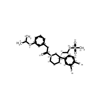 CC(C)Oc1cccc(CC(=O)N2CCC[C@](CCOS(C)(=O)=O)(c3ccc(F)c(F)c3)C2)c1